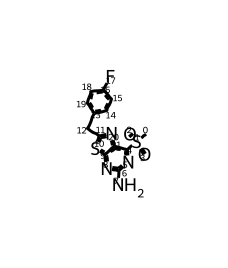 CS(=O)(=O)c1nc(N)nc2sc(Cc3ccc(F)cc3)nc12